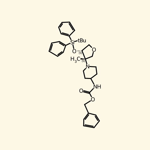 CC(C)(C)[Si](O[C@@H]1COC[C@]1(C)N1CCC(NC(=O)OCc2ccccc2)CC1)(c1ccccc1)c1ccccc1